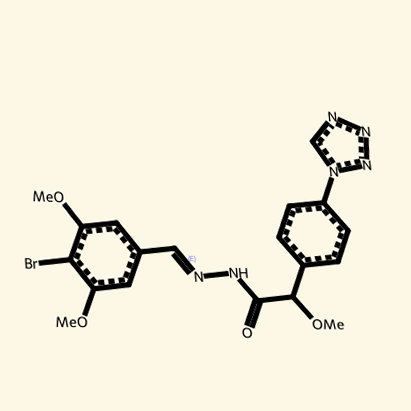 COc1cc(/C=N/NC(=O)C(OC)c2ccc(-n3cnnn3)cc2)cc(OC)c1Br